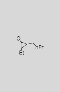 CCCCC1C(=O)C1CC